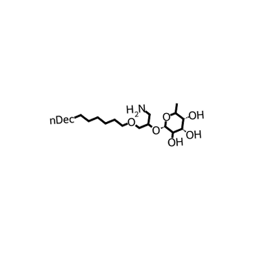 CCCCCCCCCCCCCCCCOCC(CN)O[C@@H]1OC(C)[C@H](O)[C@H](O)C1O